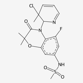 CC1(C)Oc2cc(NS(C)(=O)=O)cc(F)c2N(C2N=CC=CC2(C)Cl)C1=O